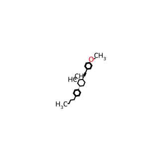 C#C.CCCCc1ccc([C@H]2CC[C@H](C#Cc3ccc(OCC)cc3)CC2)cc1